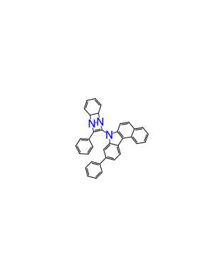 C1=CC2C(C=C1)n1c(-n3c4cc(-c5ccccc5)ccc4c4c5ccccc5ccc43)c(-c3ccccc3)n12